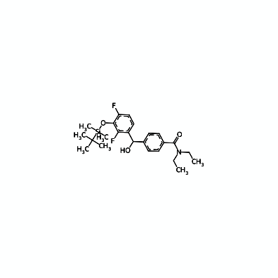 CCN(CC)C(=O)c1ccc(C(O)c2ccc(F)c(O[Si](C)(C)C(C)(C)C)c2F)cc1